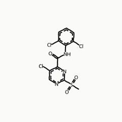 CS(=O)(=O)c1ncc(Cl)c(C(=O)Nc2c(Cl)cccc2Cl)n1